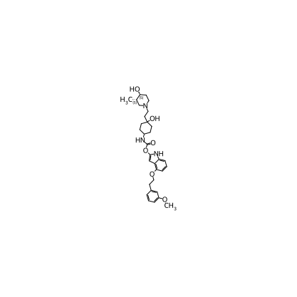 COc1cccc(CCOc2cccc3[nH]c(OC(=O)NC4CCC(O)(CCN5CC[C@H](O)[C@@H](C)C5)CC4)cc23)c1